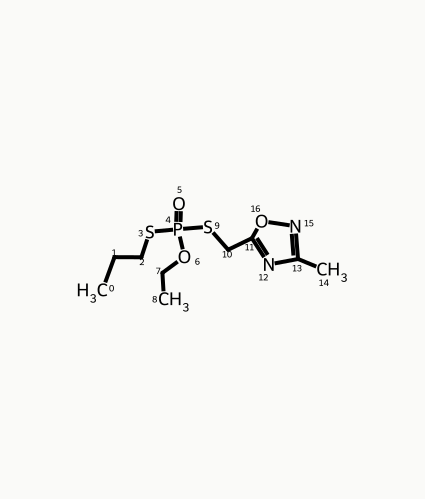 CCCSP(=O)(OCC)SCc1nc(C)no1